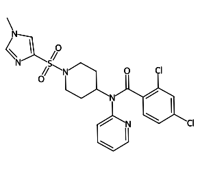 Cn1cnc(S(=O)(=O)N2CCC(N(C(=O)c3ccc(Cl)cc3Cl)c3ccccn3)CC2)c1